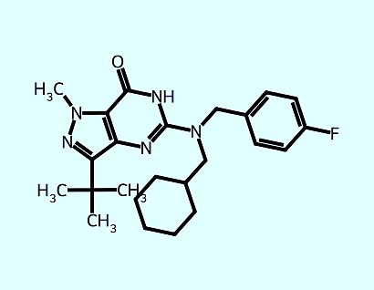 Cn1nc(C(C)(C)C)c2nc(N(Cc3ccc(F)cc3)CC3CCCCC3)[nH]c(=O)c21